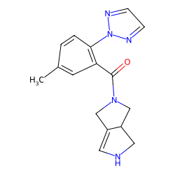 Cc1ccc(-n2nccn2)c(C(=O)N2CC3=CNCC3C2)c1